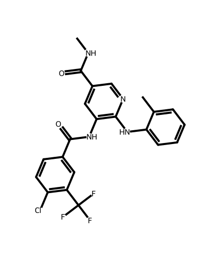 CNC(=O)c1cnc(Nc2ccccc2C)c(NC(=O)c2ccc(Cl)c(C(F)(F)F)c2)c1